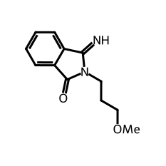 COCCCN1C(=N)c2ccccc2C1=O